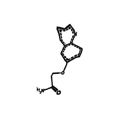 NC(=O)COc1ccc2ncccc2c1